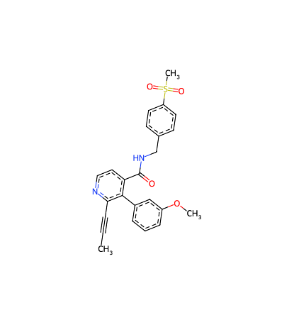 CC#Cc1nccc(C(=O)NCc2ccc(S(C)(=O)=O)cc2)c1-c1cccc(OC)c1